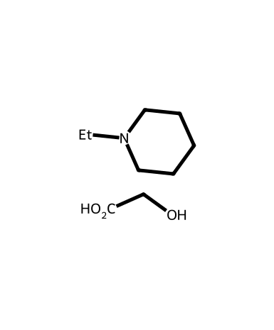 CCN1CCCCC1.O=C(O)CO